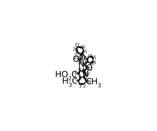 Cc1ccc(C)c2c(C(=O)O)cc(-c3oc4ccccc4c3NC(=O)Oc3ccccc3)nc12